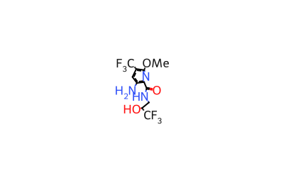 COc1nc(C(=O)NCC(O)C(F)(F)F)c(N)cc1C(F)(F)F